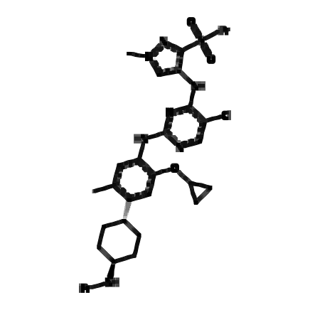 Cc1cc(Nc2ncc(Cl)c(Nc3cn(C)nc3S(=O)(=O)C(C)C)n2)c(OC2CC2)cc1[C@H]1CC[C@H](NC(C)C)CC1